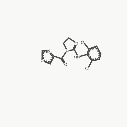 O=C(c1cocn1)N1CCN=C1Nc1c(Cl)cccc1Cl